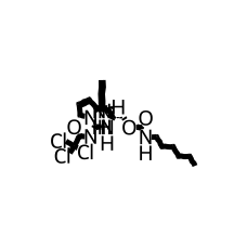 C=C1N[C@H]2[C@H](COC(=O)NCCCCCC)N/C(=N/C(=O)C(Cl)(Cl)Cl)N3CC=CC23N1